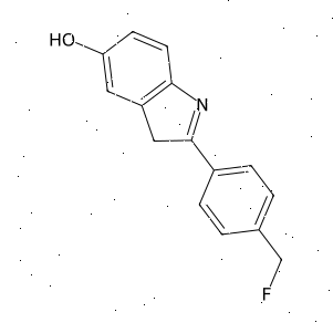 Oc1ccc2c(c1)CC(c1ccc(CF)cc1)=N2